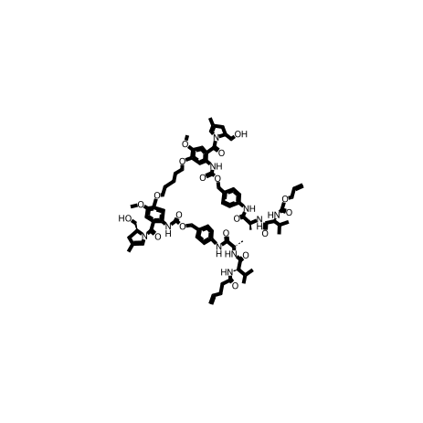 C=CCCC(=O)N[C@H](C(=O)N[C@@H](C)C(=O)Nc1ccc(COC(=O)Nc2cc(OCCCCCOc3cc(NC(=O)OCc4ccc(NC(=O)[C@H](C)NC(=O)[C@@H](NC(=O)OCC=C)C(C)C)cc4)c(C(=O)N4C=C(C)CC4CO)cc3OC)c(OC)cc2C(=O)N2C=C(C)C[C@H]2CO)cc1)C(C)C